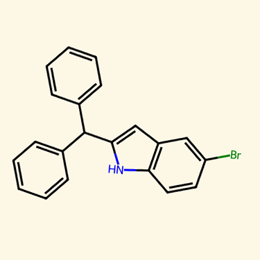 Brc1ccc2[nH]c(C(c3ccccc3)c3ccccc3)cc2c1